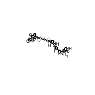 Nc1ncc(-c2ccc(SNc3cccc(NC(=O)CCCCCNC(=O)CNc4cccc5c4C(=O)N(C4CCC(=O)NC4=O)C5=O)c3)cc2F)cc1-c1ccc2c(c1)CCNC2=O